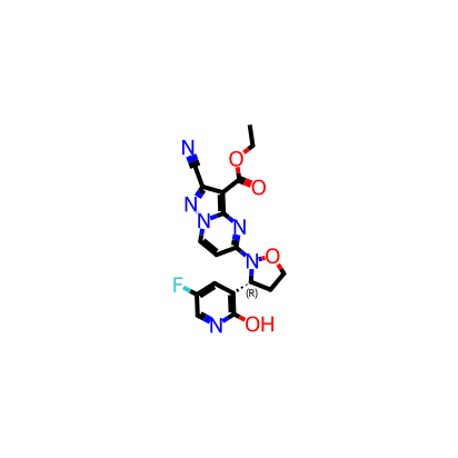 CCOC(=O)c1c(C#N)nn2ccc(N3OCC[C@@H]3c3cc(F)cnc3O)nc12